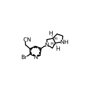 N#CCc1cc(N2C[C@H]3CCN[C@H]3C2)cnc1Br